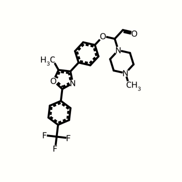 Cc1oc(-c2ccc(C(F)(F)F)cc2)nc1-c1ccc(OC(C=O)N2CCN(C)CC2)cc1